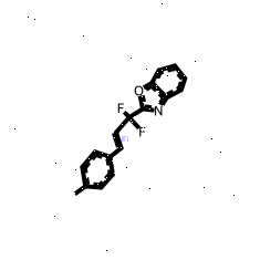 Cc1ccc(/C=C/C(F)(F)c2nc3ccccc3o2)cc1